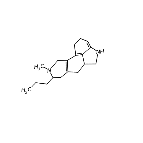 CCCC1CC2=C(CN1C)C1=C3C(=CCC1)NCC3C2